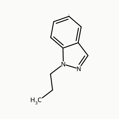 CCCn1ncc2c[c]ccc21